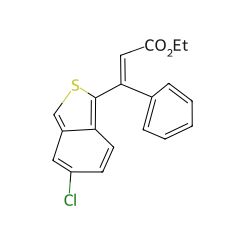 CCOC(=O)C=C(c1ccccc1)c1scc2cc(Cl)ccc12